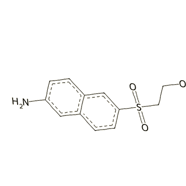 Nc1ccc2cc(S(=O)(=O)CCO)ccc2c1